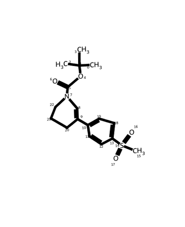 CC(C)(C)OC(=O)N1C=C(c2ccc(S(C)(=O)=O)cc2)CCC1